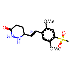 COc1cc(S(C)(=O)=O)c(OC)cc1/C=C/C1CCC(=O)NN1